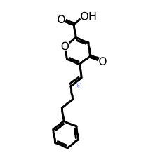 O=C(O)c1cc(=O)c(/C=C/CCc2ccccc2)co1